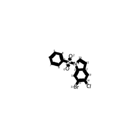 O=S(=O)(c1ccccc1)n1ccc2cc(Cl)c(Br)cc21